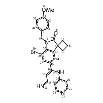 COc1ccc(CN2C(=O)C3(CCC3)c3cc(/C(=C/C=N)Nc4ccncc4)cc(Br)c32)cc1